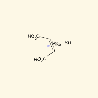 O=C(O)/C=C\C(=O)O.[KH].[NaH]